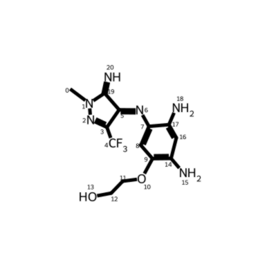 CN1N=C(C(F)(F)F)C(=Nc2cc(OCCO)c(N)cc2N)C1=N